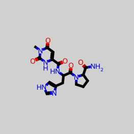 Cn1c(=O)cc(C(=O)NC(Cc2c[nH]cn2)C(=O)N2CCCC2C(N)=O)[nH]c1=O